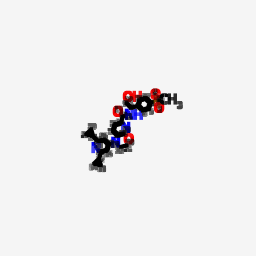 CS(=O)(=O)c1ccc(C(CO)NC(=O)c2ccc3c(n2)OCCN3c2cc(C3CC3)nc(C3CC3)c2)cc1